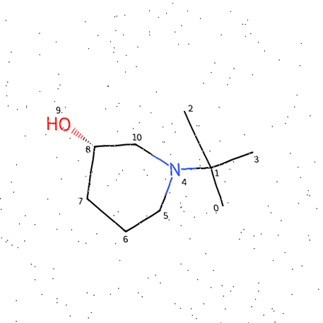 CC(C)(C)N1CCC[C@H](O)C1